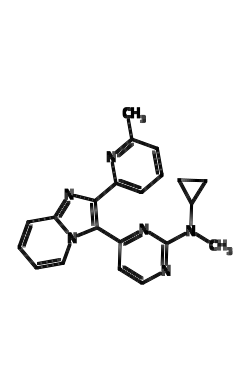 Cc1cccc(-c2nc3ccccn3c2-c2ccnc(N(C)C3CC3)n2)n1